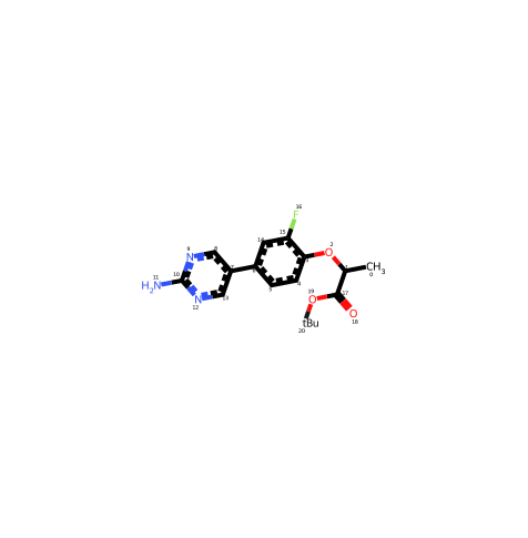 CC(Oc1ccc(-c2cnc(N)nc2)cc1F)C(=O)OC(C)(C)C